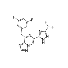 Fc1cc(F)cc(Cc2nc(-c3nc(C(F)F)n[nH]3)cn3ncnc23)c1